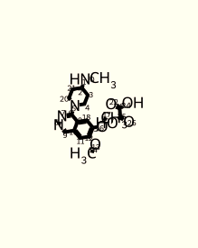 CNC1CCN(c2nncc3cc(OC)c(OC)cc23)CC1.O=C(O)C(=O)O